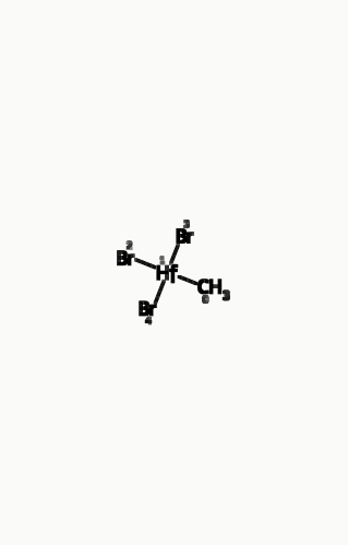 [CH3][Hf]([Br])([Br])[Br]